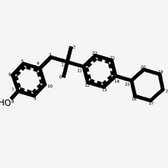 CC(C)(Cc1ccc(O)cc1)c1ccc(C2CCCCC2)cc1